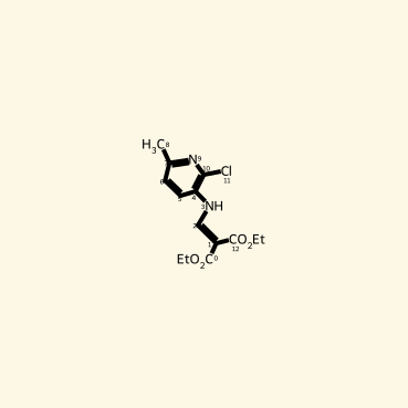 CCOC(=O)C(=CNc1ccc(C)nc1Cl)C(=O)OCC